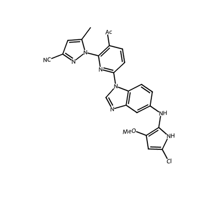 COc1cc(Cl)[nH]c1Nc1ccc2c(c1)ncn2-c1ccc(C(C)=O)c(-n2nc(C#N)cc2C)n1